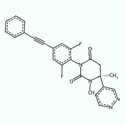 CN1C(=O)N(c2c(F)cc(C#Cc3ccccc3)cc2F)C(=O)C[C@@]1(C)c1ccnnc1